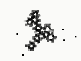 C1=Cc2cc(N(c3ccc(-c4ccccc4)cc3)c3ccc(-c4cc5ccccc5c5ccccc45)cc3)c3c(c2CC1)CCC=C3